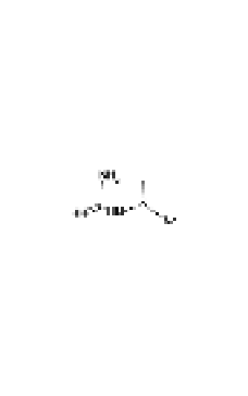 CC(=O)N(C)NC(=N)N